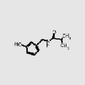 CC(C)C(=O)NCc1cccc(O)c1